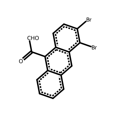 O=CC(=O)c1c2ccccc2cc2c(Br)c(Br)ccc12